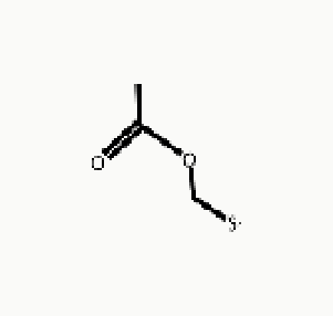 CC(=O)OC[S]